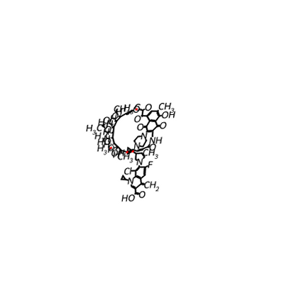 C=C1C(C(=O)O)=CN(C2CC2)c2c1cc(F)c(N1CCC(C3(N4CCN(C5=C6NC(=O)/C(C)=C\C=C\[C@H](C)[C@H](O)[C@@H](C)[C@@H](O)[C@@H](C)[C@H](OC(C)=O)[C@H](C)[C@@H](OC)/C=C/O[C@@]7(C)Oc8c(C)c(O)c(c(c8C7=O)C5=O)C6=O)CC4)CC3)C1)c2Cl